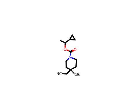 CC(OC(=O)N1CCC(CC#N)(C(C)(C)C)CC1)C1CC1